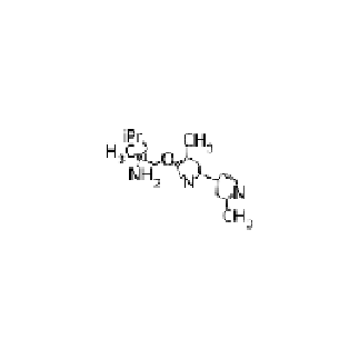 Cc1cc(-c2cc(C)c(OC[C@@](C)(N)CC(C)C)cn2)ccn1